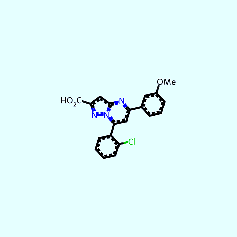 COc1cccc(-c2cc(-c3ccccc3Cl)n3nc(C(=O)O)cc3n2)c1